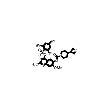 COc1cc2nc(C)nc(OS(=O)(=O)c3c(C(C)C)cc(C(C)C)cc3C(C)C)c2cc1OC(=O)N1CCC(C2COC2)CC1